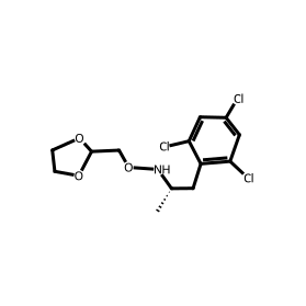 C[C@@H](Cc1c(Cl)cc(Cl)cc1Cl)NOCC1OCCO1